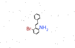 Nc1cccc(Br)c1C=Cc1ccccc1